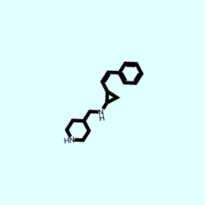 C(=C/C1CC1NCC1CCNCC1)/c1ccccc1